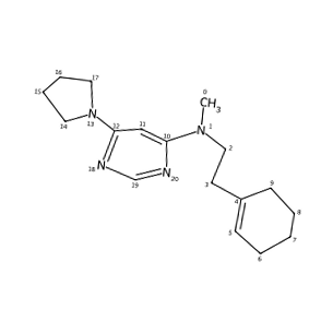 CN(CCC1=CCCCC1)c1cc(N2CCCC2)ncn1